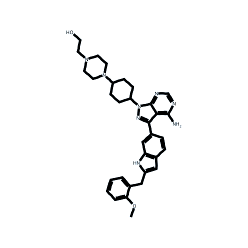 COc1ccccc1Cc1cc2ccc(-c3nn(C4CCC(N5CCN(CCO)CC5)CC4)c4ncnc(N)c34)cc2[nH]1